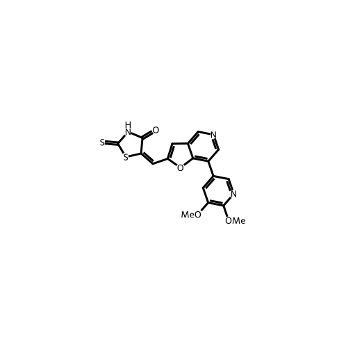 COc1cc(-c2cncc3cc(C=C4SC(=S)NC4=O)oc23)cnc1OC